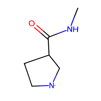 CNC(=O)C1CC[N]C1